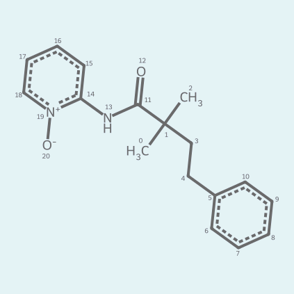 CC(C)(CCc1ccccc1)C(=O)Nc1cccc[n+]1[O-]